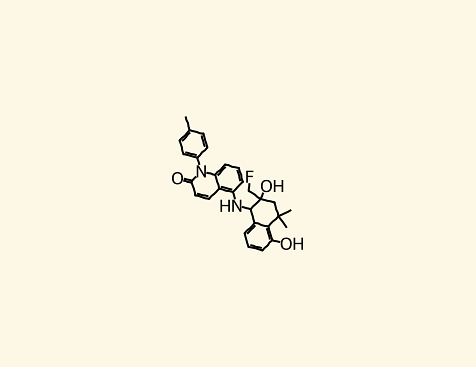 Cc1ccc(-n2c(=O)ccc3c(NC4c5cccc(O)c5C(C)(C)CC4(O)CF)cccc32)cc1